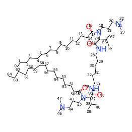 CCCCCCCCCCCCCCCC(=O)N(CCCN(C)C)C(C(=O)NCCCCCCNC(=O)C(C(C)C)N(CCCN(C)C)C(=O)CCCCCCCCCCCCCCC)C(C)C